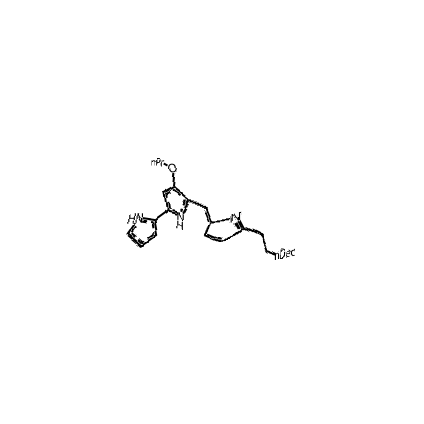 CCCCCCCCCCCCC1=N/C(=C/c2[nH]c(-c3ccc[nH]3)cc2OCCC)C=C1